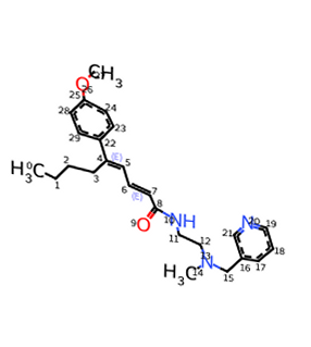 CCCC/C(=C\C=C\C(=O)NCCN(C)Cc1cccnc1)c1ccc(OC)cc1